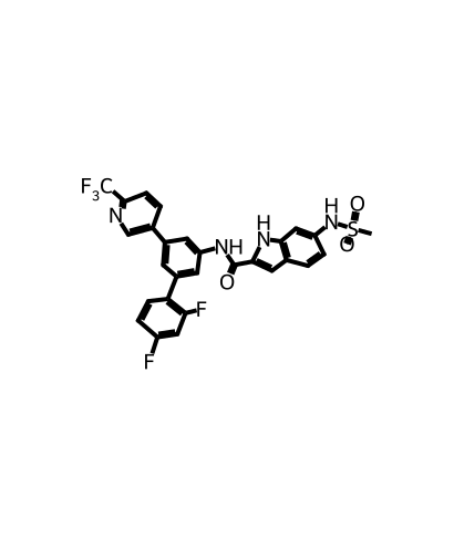 CS(=O)(=O)Nc1ccc2cc(C(=O)Nc3cc(-c4ccc(C(F)(F)F)nc4)cc(-c4ccc(F)cc4F)c3)[nH]c2c1